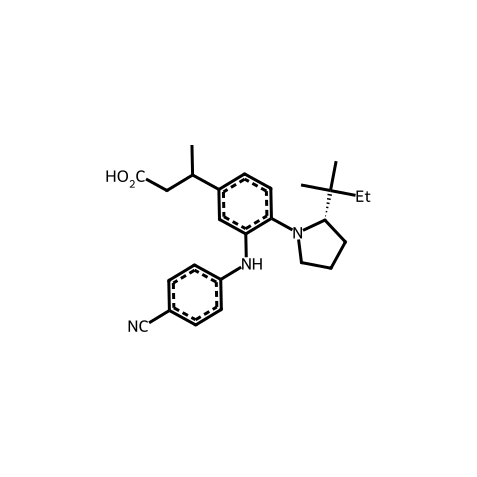 CCC(C)(C)[C@@H]1CCCN1c1ccc(C(C)CC(=O)O)cc1Nc1ccc(C#N)cc1